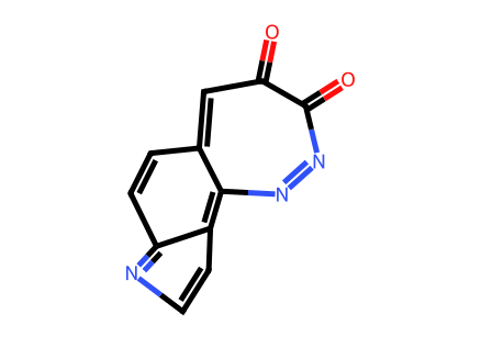 O=C1C=c2ccc3c(c2N=NC1=O)C=CN=3